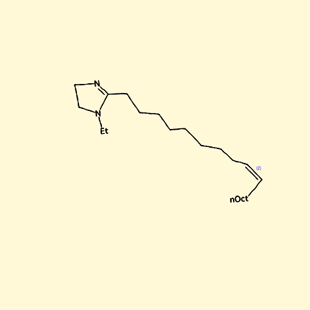 CCCCCCCC/C=C\CCCCCCCCC1=NCCN1CC